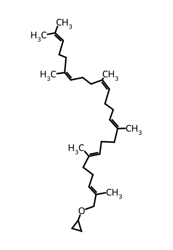 CC(C)=CCCC(C)=CCCC(C)=CCCC=C(C)CCC=C(C)CCC=C(C)COC1CC1